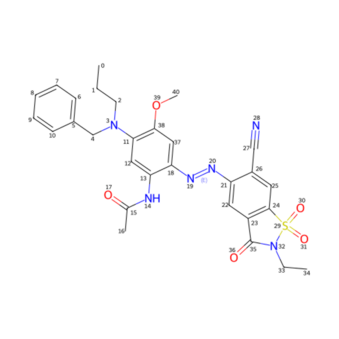 CCCN(Cc1ccccc1)c1cc(NC(C)=O)c(/N=N/c2cc3c(cc2C#N)S(=O)(=O)N(CC)C3=O)cc1OC